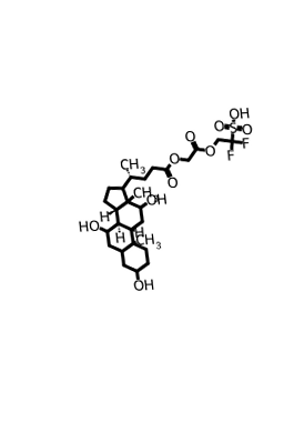 C[C@H](CCC(=O)OCC(=O)OCC(F)(F)S(=O)(=O)O)C1CC[C@H]2[C@@H]3C(O)CC4CC(O)CCC4(C)[C@H]3CC(O)C12C